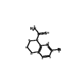 CCc1ccc2c(n1)C(C(N)=S)CCC2